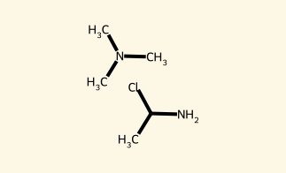 CC(N)Cl.CN(C)C